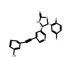 N#Cc1cccc(C#Cc2cncc([C@H]3NC(=O)O[C@@H]3c3cc(F)ccc3F)c2)c1